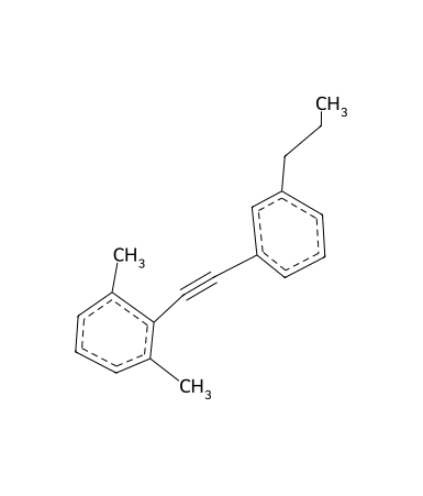 CCCc1cccc(C#Cc2c(C)cccc2C)c1